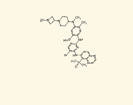 CCN1CC(N2CCC(N(C)c3cc(OC)c(Nc4ncc(Br)c(Nc5ccc6nccnc6c5P(C)(C)=O)n4)cc3C)CC2)C1